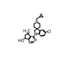 C[C@@H]1C[C@@H](O)c2ncnc(N3CC4(CCN(CC5CC5)CC4)c4cc(Cl)ccc43)c21